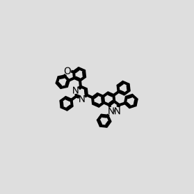 c1ccc(-c2nc(-c3ccc4c(c3)cc(-c3ccccc3)c3c(-c5ccccc5)nn(-c5ccccc5)c34)cc(-c3cccc4oc5ccccc5c34)n2)cc1